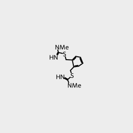 CNC(=N)SCc1ccccc1CSC(=N)NC